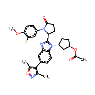 COc1ccc(N2C(=O)CC[C@H]2c2nc3cc(-c4c(C)noc4C)ccc3n2[C@@H]2CC[C@@H](OC(C)=O)C2)cc1F